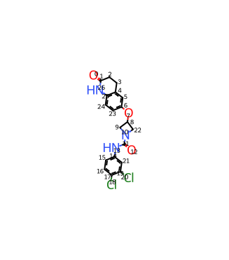 O=C1CCc2cc(OC3CN(C(=O)Nc4ccc(Cl)c(Cl)c4)C3)ccc2N1